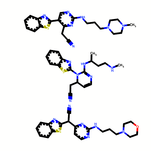 CN1CCN(CCCNc2ncc(-c3nc4ccccc4s3)c(CC#N)n2)CC1.CNCCC(C)NC1=NC=CC(CC#N)N1c1nc2ccccc2s1.N#CC(c1ccnc(NCCCN2CCOCC2)n1)c1nc2ccccc2s1